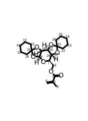 C=C(C)C(=O)OC[C@H]1O[C@H]2OC3(CCCCC3)O[C@@H]2[C@H]2OC3(CCCCC3)O[C@@H]21